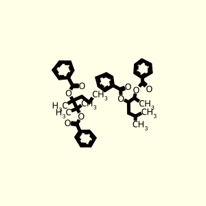 CC(C)CC(OC(=O)c1ccccc1)C(C)OC(=O)c1ccccc1.CCCC(C)(OC(=O)c1ccccc1)C(C)(C)OC(=O)c1ccccc1